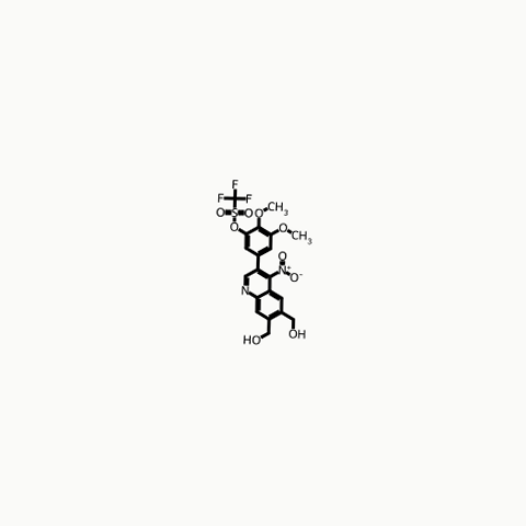 COc1cc(-c2cnc3cc(CO)c(CO)cc3c2[N+](=O)[O-])cc(OS(=O)(=O)C(F)(F)F)c1OC